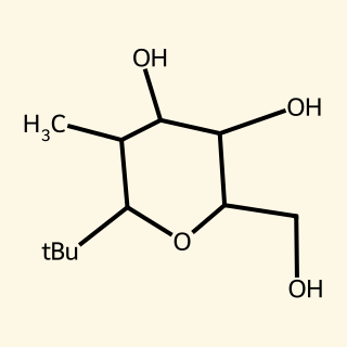 CC1C(O)C(O)C(CO)OC1C(C)(C)C